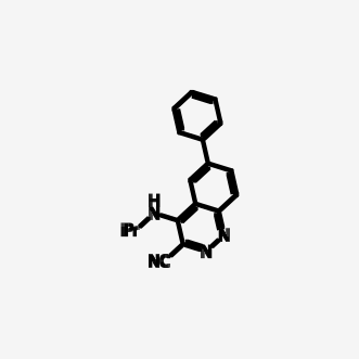 CC(C)Nc1c(C#N)nnc2ccc(-c3ccccc3)cc12